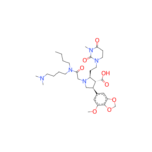 CCCCN(CCCCN(C)C)C(=O)CN1C[C@H](c2cc(OC)c3c(c2)OCO3)[C@@H](C(=O)O)[C@@H]1CCN1CCC(=O)N(C)C1=O